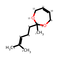 CC(C)=CCCC1(C)OCC=CCO1